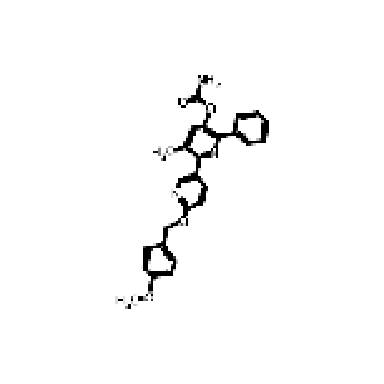 COc1ccc(COc2ccc(-c3nc(-c4ccccc4)c(OC(N)=O)cc3C)cn2)cc1